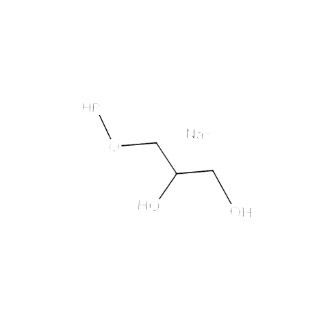 OCC(O)CO[PH-].[Na+]